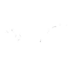 CC(C/C=C/C#CC(C)(C)C)C(=O)CCCCOc1cccc(-c2ccsc2)c1